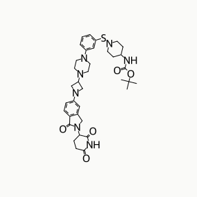 CC(C)(C)OC(=O)NC1CCN(Sc2cccc(N3CCN(C4CN(c5ccc6c(c5)CN(C5CCC(=O)NC5=O)C6=O)C4)CC3)c2)CC1